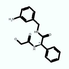 Nc1cccc(CNC(=O)[C@H](NC(=O)C[O])c2ccccc2)c1